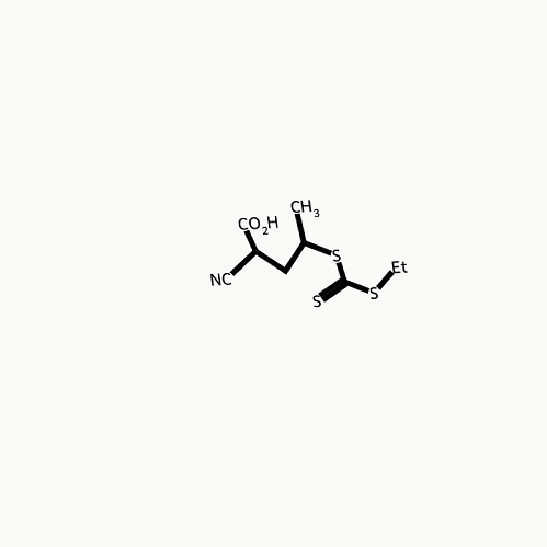 CCSC(=S)SC(C)CC(C#N)C(=O)O